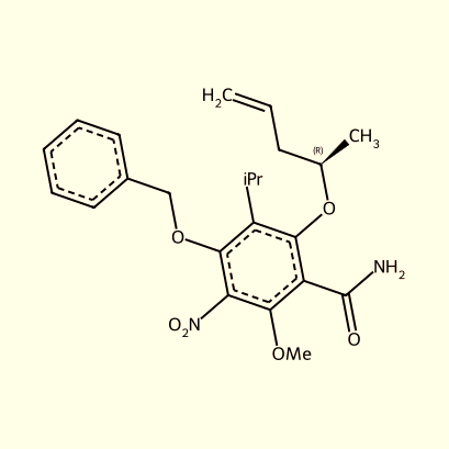 C=CC[C@@H](C)Oc1c(C(N)=O)c(OC)c([N+](=O)[O-])c(OCc2ccccc2)c1C(C)C